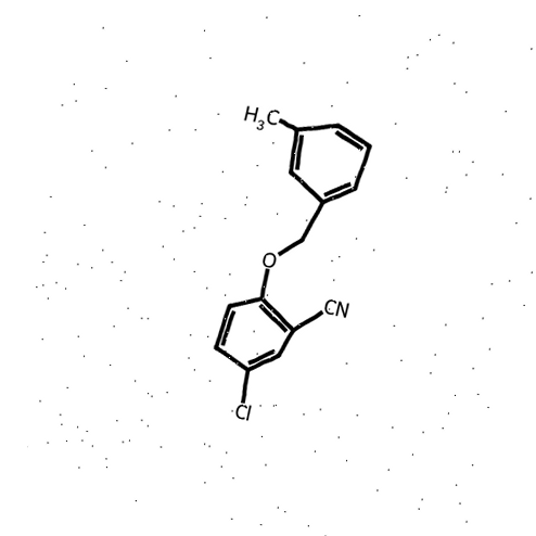 Cc1cccc(COc2ccc(Cl)cc2C#N)c1